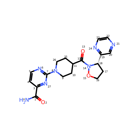 NC(=O)c1ccnc(N2CCC(C(=O)N3OCC[C@H]3c3cnccn3)CC2)n1